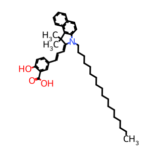 CCCCCCCCCCCCCCCCCCN1/C(=C/C=C/c2ccc(O)c(C(=O)O)c2)C(C)(C)c2c1ccc1ccccc21